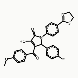 COc1ccc(C(=O)C2=C(O)C(=O)N(c3ccc(C4=NCCS4)cc3)C2c2ccc(F)cc2)cc1